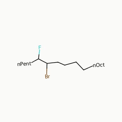 CCCCCCCCCCCCC(Br)C(F)CCCCC